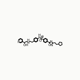 O=S(=O)(Nc1ccc(CCNCC(O)c2cccnc2)cc1)c1ccc(-c2nc(CCC3CCCC3)no2)cc1